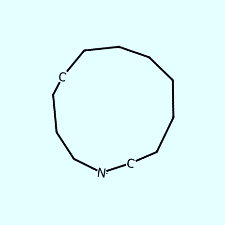 C1CCCCC[N]CCCCC1